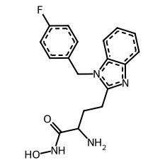 NC(CCc1nc2ccccc2n1Cc1ccc(F)cc1)C(=O)NO